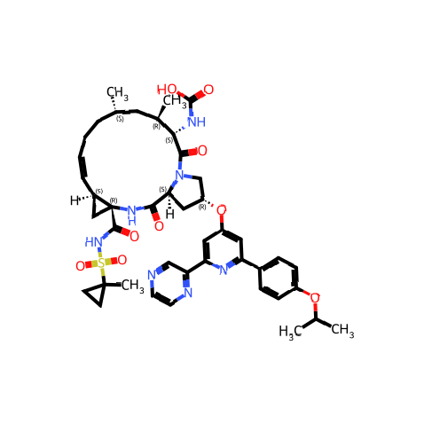 CC(C)Oc1ccc(-c2cc(O[C@@H]3C[C@H]4C(=O)N[C@]5(C(=O)NS(=O)(=O)C6(C)CC6)C[C@H]5C=CCC[C@H](C)C[C@@H](C)[C@H](NC(=O)O)C(=O)N4C3)cc(-c3cnccn3)n2)cc1